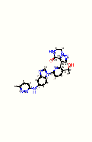 Cc1ccc(Nc2ccc3c(c2)ncn3-c2ccc(C(C)O)c(-c3cnn4c3C(=O)NCC4)n2)nn1